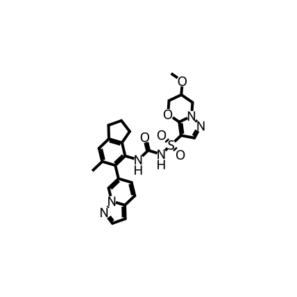 COC1COc2c(S(=O)(=O)NC(=O)Nc3c4c(cc(C)c3-c3ccc5ccnn5c3)CCC4)cnn2C1